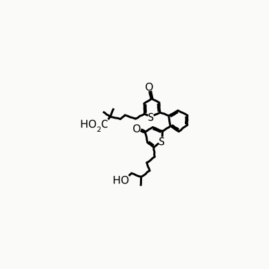 CC(CO)CCCc1cc(=O)cc(-c2ccccc2-c2cc(=O)cc(CCCC(C)(C)C(=O)O)s2)s1